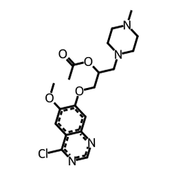 COc1cc2c(Cl)ncnc2cc1OCC(CN1CCN(C)CC1)OC(C)=O